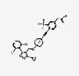 O=C(O)Cc1ccc(C#CC23CCC(OCc4c(-c5c(Cl)cncc5Cl)noc4C4CC4)(CC2)CC3)c(C(F)(F)F)c1